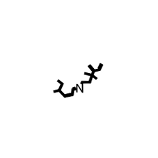 C=CC(=C)C(C)(C)CC/N=C/C=C\C(C)CC